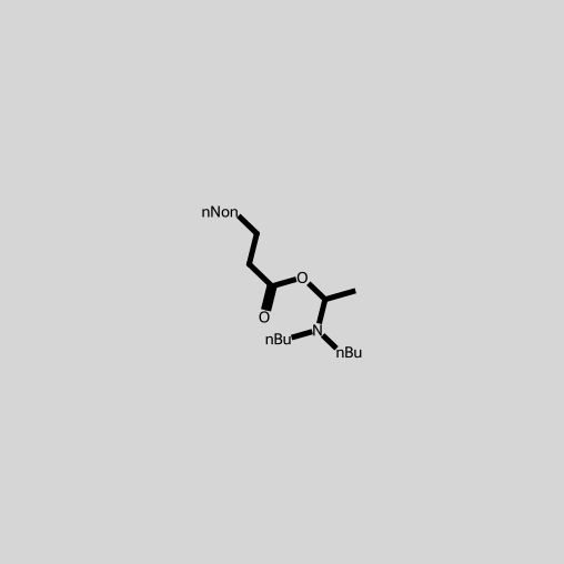 CCCCCCCCCCCC(=O)OC(C)N(CCCC)CCCC